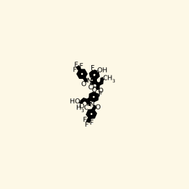 CCCC(C(=O)Oc1cc2c(CC(=O)O)c(C)n(C(=O)c3ccc(C(F)(F)F)cc3)c2cc1F)c1c(C)n(C(=O)c2ccc(C(F)(F)F)cc2)c2cc(F)c(O)cc12